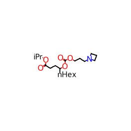 [CH2]C([CH2])OC(=O)CCC(CCCCCC)OC(=O)OCCCN1CCC1